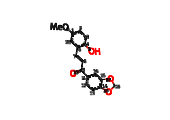 COc1ccc(O)c(C=CC(=O)c2ccc3c(c2)OCO3)c1